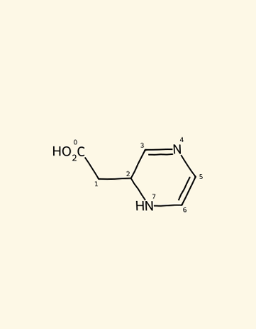 O=C(O)CC1C=NC=CN1